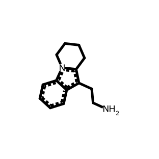 NCCc1c2n(c3ccccc13)CCCC2